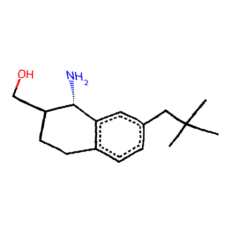 CC(C)(C)Cc1ccc2c(c1)[C@@H](N)C(CO)CC2